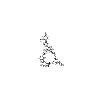 CC(C)(C)OC(=O)CN1CCNC(=O)[C@@H]2C[C@@H](CN2C(=O)c2cnn(-c3ccc(F)cc3Cl)c2)Oc2cccc(c2)-c2cccc3nn(cc23)CC1